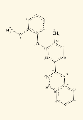 COc1ccccc1Oc1nc(-c2ncc3ccccc3n2)ccc1C